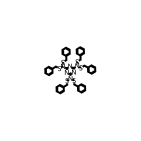 c1ccc(CSN(SCc2ccccc2)c2nc(N(SCc3ccccc3)SCc3ccccc3)nc(N(SCc3ccccc3)SCc3ccccc3)n2)cc1